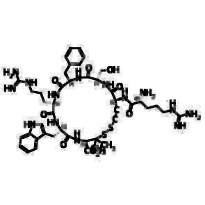 CC1(C)SSCC[C@H](NC(=O)[C@H](N)CCCNC(=N)N)C(=O)N[C@@H](CO)C(=O)N[C@H](Cc2ccccc2)C(=O)N[C@@H](CCCNC(=N)N)C(=O)N[C@@H](Cc2c[nH]c3ccccc23)C(=O)N[C@@H]1C(=O)O